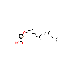 CC(C)CCCC(C)CCCC(C)CCCC(C)CCOc1ccc(C(=O)O)s1